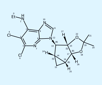 CCNc1c(Cl)c(Cl)nc2c1ncn2[C@@H]1[C@H]2C[C@H]2[C@H]2OC(C)(C)O[C@H]21